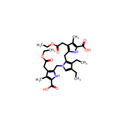 CCOC(=O)Cc1c(Cc2c(CC)c(CC)cn2Cc2[nH]c(C(=O)O)c(C)c2CC(=O)OCC)[nH]c(C(=O)O)c1C